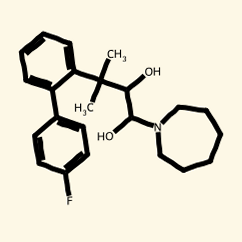 CC(C)(c1ccccc1-c1ccc(F)cc1)C(O)C(O)N1CCCCCC1